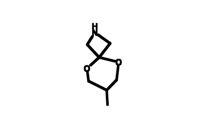 CC1COC2(CNC2)OC1